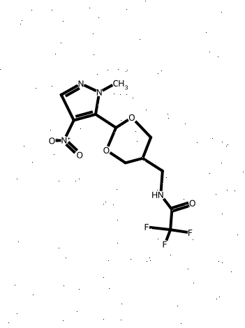 Cn1ncc([N+](=O)[O-])c1C1OCC(CNC(=O)C(F)(F)F)CO1